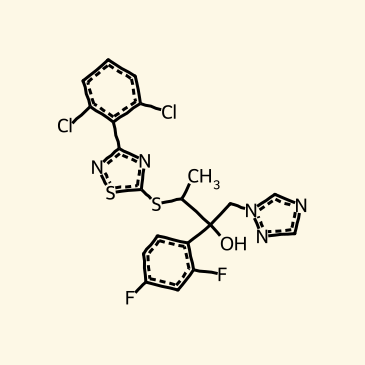 CC(Sc1nc(-c2c(Cl)cccc2Cl)ns1)C(O)(Cn1cncn1)c1ccc(F)cc1F